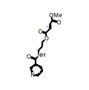 COC(=O)/C=C/C(=O)OCCCNC(=O)c1cccnc1